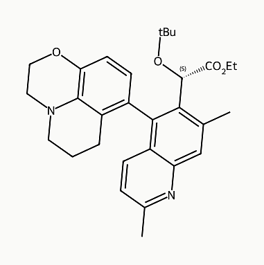 CCOC(=O)[C@@H](OC(C)(C)C)c1c(C)cc2nc(C)ccc2c1-c1ccc2c3c1CCCN3CCO2